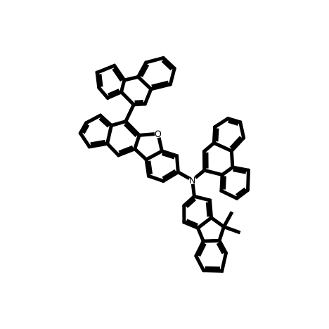 CC1(C)c2ccccc2-c2ccc(N(c3ccc4c(c3)oc3c(-c5cc6ccccc6c6ccccc56)c5ccccc5cc34)c3cc4ccccc4c4ccccc34)cc21